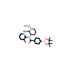 Cc1cccnc1N(C(=O)c1ccc(B2OC(C)(C)C(C)(C)O2)cc1)[C@@H]1CCCN(C(=O)O)C1C(C)(C)C